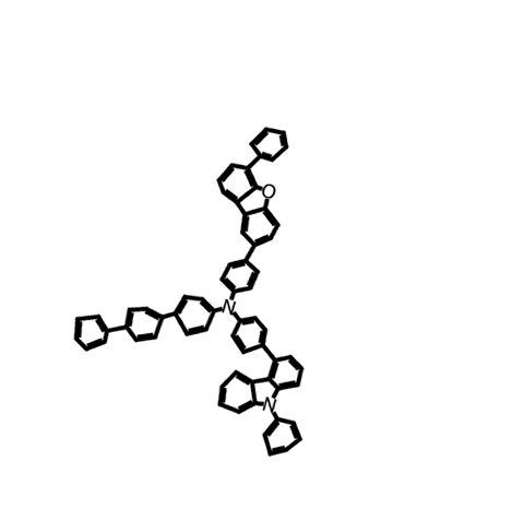 c1ccc(-c2ccc(-c3ccc(N(c4ccc(-c5ccc6oc7c(-c8ccccc8)cccc7c6c5)cc4)c4ccc(-c5cccc6c5c5ccccc5n6-c5ccccc5)cc4)cc3)cc2)cc1